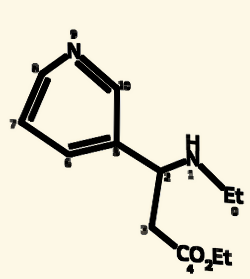 CCNC(CC(=O)OCC)c1cccnc1